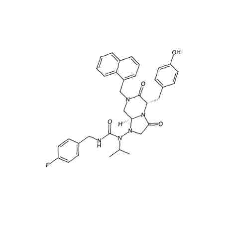 CC(C)N(C(=O)NCc1ccc(F)cc1)N1CC(=O)N2[C@@H](Cc3ccc(O)cc3)C(=O)N(Cc3cccc4ccccc34)C[C@@H]21